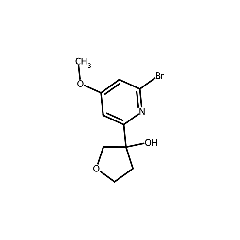 COc1cc(Br)nc(C2(O)CCOC2)c1